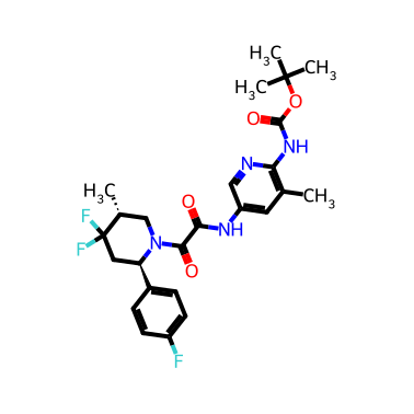 Cc1cc(NC(=O)C(=O)N2C[C@@H](C)C(F)(F)C[C@@H]2c2ccc(F)cc2)cnc1NC(=O)OC(C)(C)C